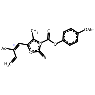 C=C/C(=C\c1oc(=S)n(C(=O)Oc2ccc(OC)cc2)c1C)C(C)=O